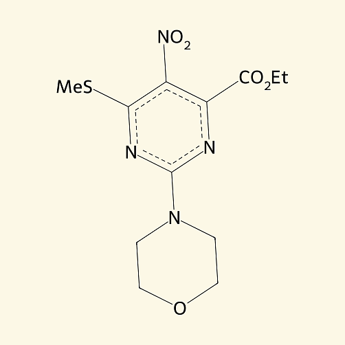 CCOC(=O)c1nc(N2CCOCC2)nc(SC)c1[N+](=O)[O-]